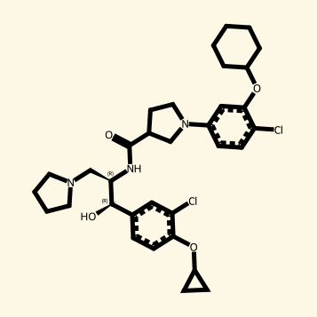 O=C(N[C@H](CN1CCCC1)[C@H](O)c1ccc(OC2CC2)c(Cl)c1)C1CCN(c2ccc(Cl)c(OC3CCCCC3)c2)C1